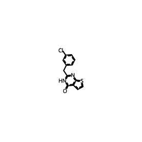 O=c1[nH]c(Cc2cccc(Cl)c2)nc2sccc12